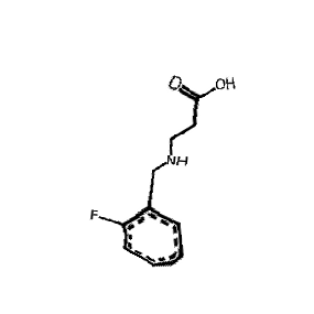 O=C(O)CCNCc1ccccc1F